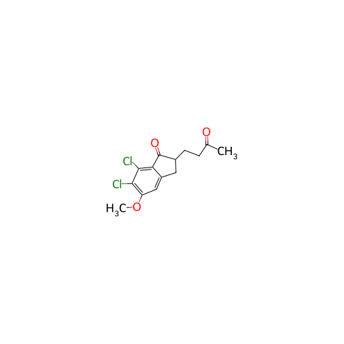 COc1cc2c(c(Cl)c1Cl)C(=O)C(CCC(C)=O)C2